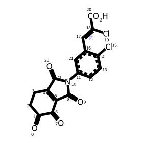 O=C1CCC2=C(C1=O)C(=O)N(c1ccc(Cl)c(/C=C(\Cl)C(=O)O)c1)C2=O